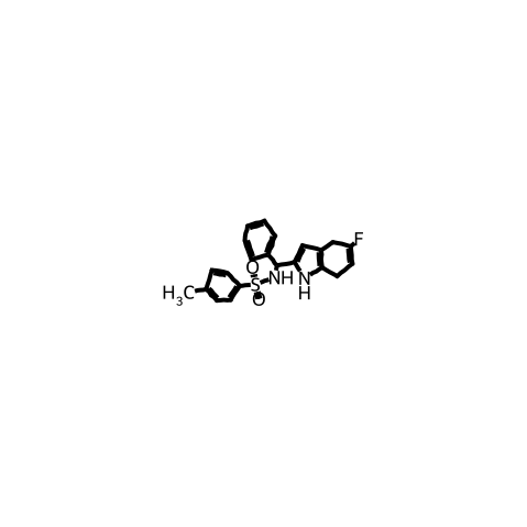 Cc1ccc(S(=O)(=O)NC(c2ccccc2)c2cc3c([nH]2)CC=C(F)C3)cc1